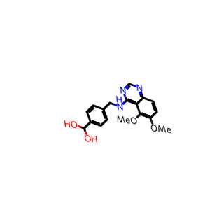 COc1ccc2ncnc(NCc3ccc(C(O)O)cc3)c2c1OC